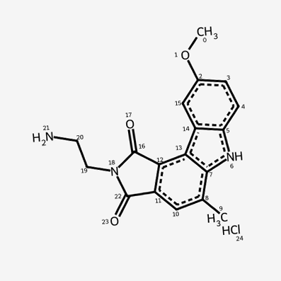 COc1ccc2[nH]c3c(C)cc4c(c3c2c1)C(=O)N(CCN)C4=O.Cl